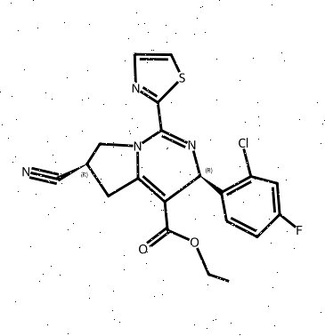 CCOC(=O)C1=C2C[C@@H](C#N)CN2C(c2nccs2)=N[C@H]1c1ccc(F)cc1Cl